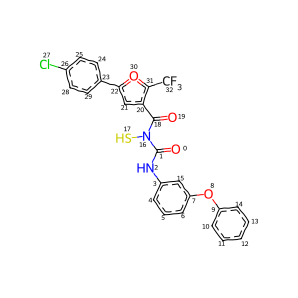 O=C(Nc1cccc(Oc2ccccc2)c1)N(S)C(=O)c1cc(-c2ccc(Cl)cc2)oc1C(F)(F)F